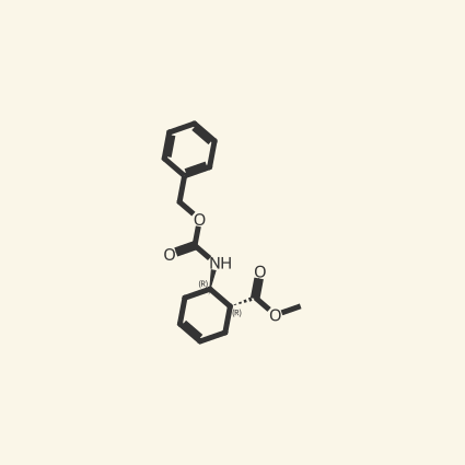 COC(=O)[C@@H]1CC=CC[C@H]1NC(=O)OCc1ccccc1